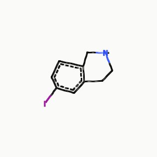 Ic1ccc2c(c1)CC[N]C2